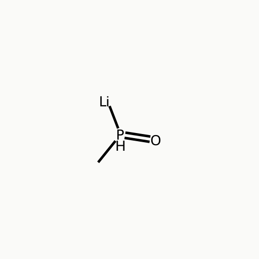 [Li][PH](C)=O